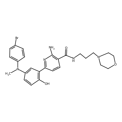 CN(c1ccc(Br)cc1)c1ccc(O)c(-c2ccc(C(=O)NCCCN3CCOCC3)c(N)n2)c1